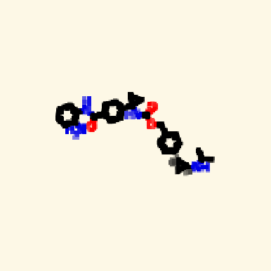 CC(C)N[C@H]1C[C@@H]1c1ccc(COC(=O)NC2(c3ccc(C(=O)Nc4ccccc4N)cc3)CC2)cc1